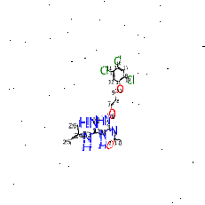 CC(=O)N=C(NOCCCOc1cc(Cl)c(Cl)cc1Cl)NC(=N)NC(C)C